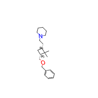 CC1(C)[C@H](COCc2ccccc2)C[C@@H]1CCN1CCCCC1